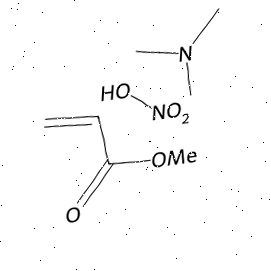 C=CC(=O)OC.CN(C)C.O=[N+]([O-])O